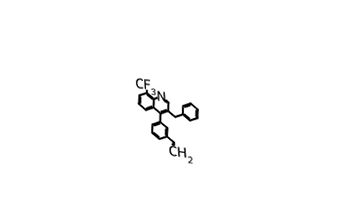 C=Cc1cccc(-c2c(Cc3ccccc3)cnc3c(C(F)(F)F)cccc23)c1